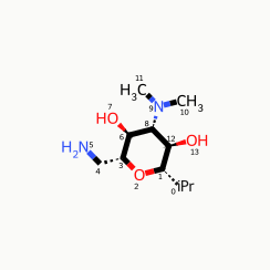 CC(C)[C@@H]1O[C@H](CN)[C@@H](O)[C@H](N(C)C)[C@H]1O